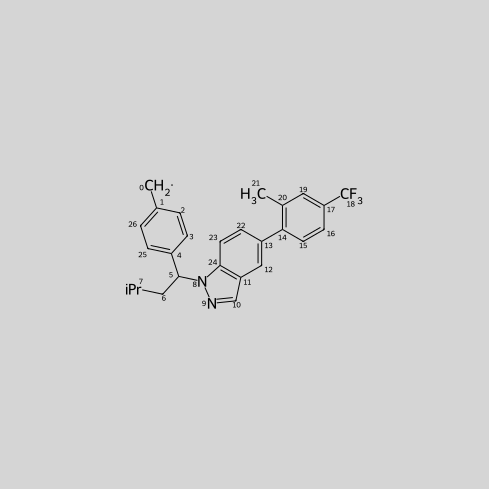 [CH2]c1ccc(C(CC(C)C)n2ncc3cc(-c4ccc(C(F)(F)F)cc4C)ccc32)cc1